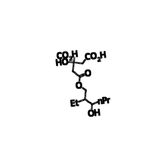 CCCC(O)C(CC)COC(=O)CC(O)(CC(=O)O)C(=O)O